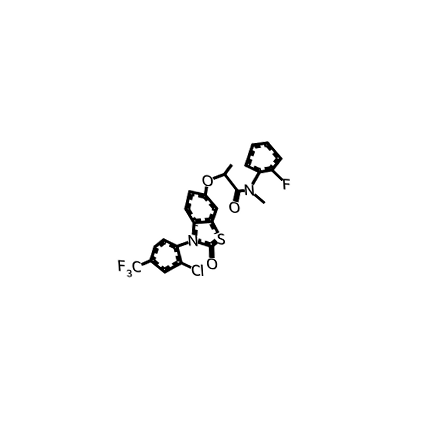 CC(Oc1ccc2c(c1)sc(=O)n2-c1ccc(C(F)(F)F)cc1Cl)C(=O)N(C)c1ccccc1F